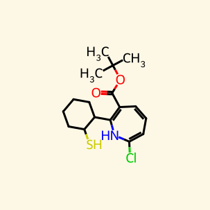 CC(C)(C)OC(=O)C1=C(C2CCCCC2S)NC(Cl)=CC=C1